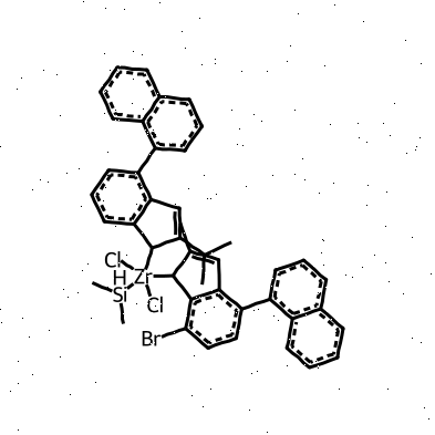 CC1=Cc2c(-c3cccc4ccccc34)ccc(Br)c2[CH]1[Zr]([Cl])([Cl])([CH]1C(C(C)C)=Cc2c(-c3cccc4ccccc34)cccc21)[SiH](C)C